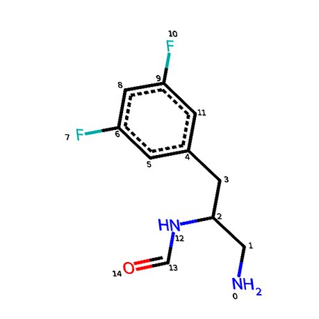 NCC(Cc1cc(F)cc(F)c1)NC=O